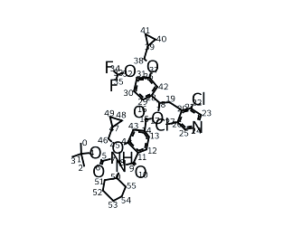 CC(C)(C)OC(=O)NN(C(=O)c1ccc(C(=O)OC(Cc2c(Cl)cncc2Cl)c2ccc(OC(F)F)c(OCC3CC3)c2)cc1OCC1CC1)C1CCCCC1